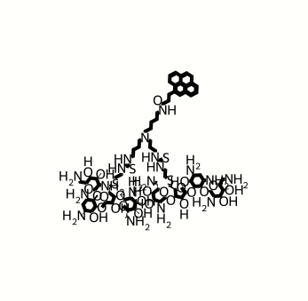 NCC1OC(O[C@@H]2C(N)C[C@@H](N)C(O)[C@H]2OC2O[C@H](CSCCNC(=S)NCCCCN(CCCCCNC(=O)CCc3cc4cccc5c4c4c3CC=CC4=CC5)CCCNC(=S)NCCSC[C@H]3OC(O[C@@H]4C(O)[C@H](N)CC(N)[C@H]4O[C@@H]4OC(CN)[C@@H](O)[C@H](O)C4N)[C@@H](O)[C@H]3O[C@H]3O[C@@H](CN)[C@@H](O)C(O)C3N)[C@H](O[C@H]3O[C@@H](CN)[C@@H](O)C(O)C3N)[C@@H]2O)C(N)[C@@H](O)[C@@H]1O